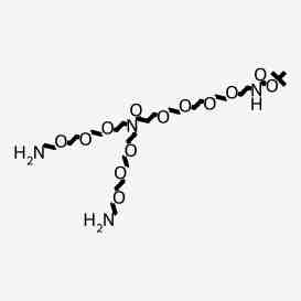 CC(C)(C)OC(=O)NCCOCCOCCOCCOCCC(=O)N(CCOCCOCCOCCN)CCOCCOCCOCCN